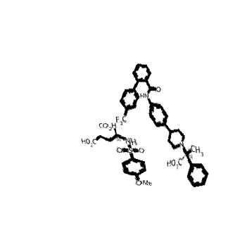 COc1ccc(S(=O)(=O)N[C@@H](CCC(=O)O)C(=O)O)cc1.C[C@@](C(=O)O)(c1ccccc1)N1CCC(c2ccc(NC(=O)c3ccccc3-c3ccc(C(F)(F)F)cc3)cc2)CC1